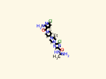 CC[C@H]1CN(c2ncc(C(=O)NC(C)N)nc2Cl)CCN1C1CCN(C(=O)c2ccc(Cl)nc2N)CC1